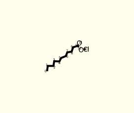 CCCCCCCCCCC(=O)OCl